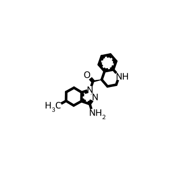 CC1CCc2c(c(N)nn2C(=O)[C@@H]2CCNc3ccccc32)C1